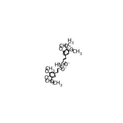 COc1cc(C=C[S+]([O-])N[S+]([O-])/C=C/c2cc(OC)c(OC)c(OC)c2)cc(OC)c1OC